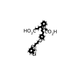 O=C(O)CCCc1c(C=Cc2ccc(OCCCCOc3cccc(Cl)c3F)cc2)n(CC(=O)O)c2ccccc12